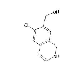 OCc1cc2c(cc1Cl)C=CNC2